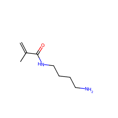 C=C(C)C(=O)NCCCCN